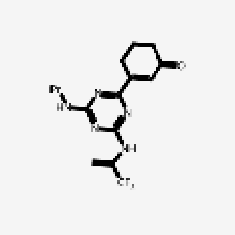 C=C(Nc1nc(NC(C)C)nc(C2=CC(=O)CCC2)n1)C(F)(F)F